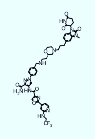 Cn1c(=O)n(C2CCC(=O)NC2=O)c2ccc(CCCN3CCO[C@H](CCNCc4ccc(-n5cc(NC(=O)c6coc(-c7ccnc(NCC(F)(F)F)c7)n6)c(C(N)=O)n5)cc4)C3)cc21